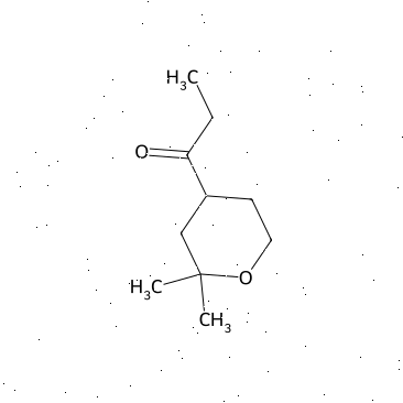 CCC(=O)C1CCOC(C)(C)C1